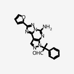 CC(C=O)(c1ccccc1)n1ncc2c1nc(N)n1nc(-c3ccco3)nc21